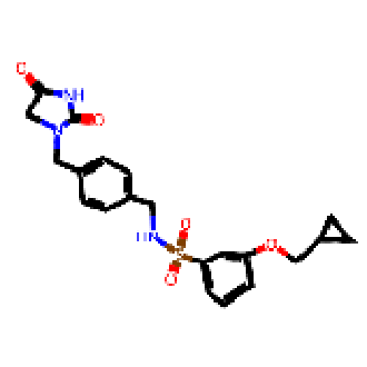 O=C1CN(Cc2ccc(CNS(=O)(=O)c3cccc(OCC4CC4)c3)cc2)C(=O)N1